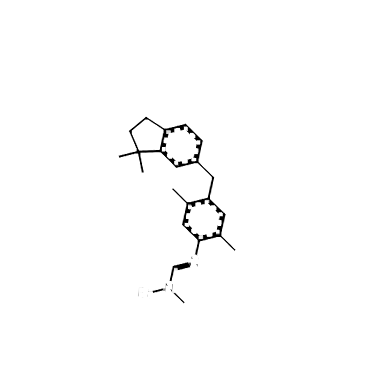 CCN(C)C=Nc1cc(C)c(Cc2ccc3c(c2)C(C)(C)CC3)cc1C